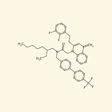 C=C1C=C(CCc2cccc(F)c2F)N(CC(=O)N(Cc2ccc(-c3ccc(C(F)(F)F)cc3)cc2)CC(CC)CCCCC)c2ccccc21